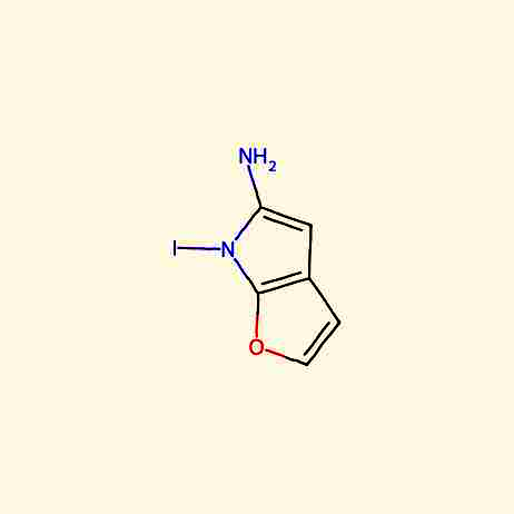 Nc1cc2ccoc2n1I